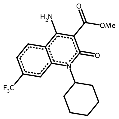 COC(=O)c1c(N)c2ccc(C(F)(F)F)cc2n(C2CCCCC2)c1=O